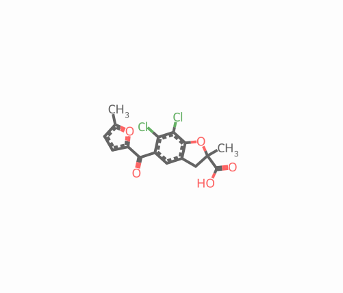 Cc1ccc(C(=O)c2cc3c(c(Cl)c2Cl)OC(C)(C(=O)O)C3)o1